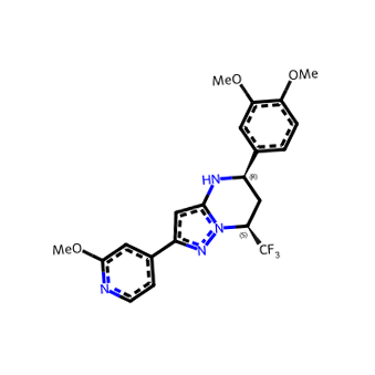 COc1cc(-c2cc3n(n2)[C@H](C(F)(F)F)C[C@H](c2ccc(OC)c(OC)c2)N3)ccn1